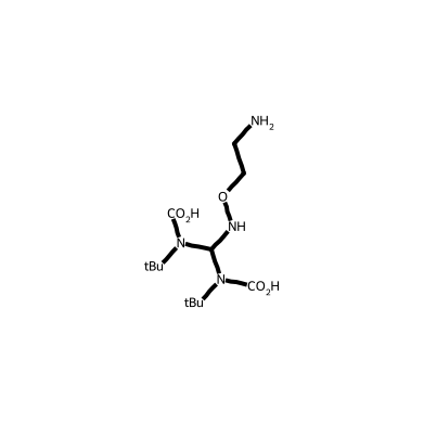 CC(C)(C)N(C(=O)O)C(NOCCN)N(C(=O)O)C(C)(C)C